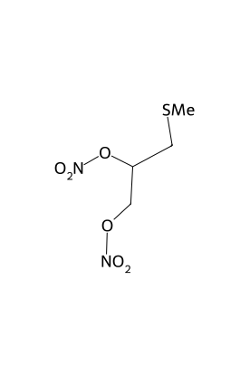 CSCC(CO[N+](=O)[O-])O[N+](=O)[O-]